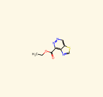 CCOC(=O)c1nncc2s[c]nc12